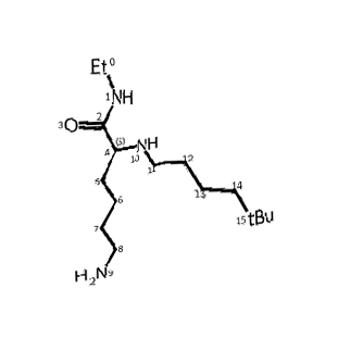 CCNC(=O)[C@H](CCCCN)NCCCCC(C)(C)C